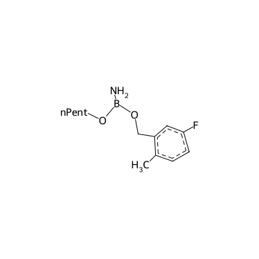 CCCCCOB(N)OCc1cc(F)ccc1C